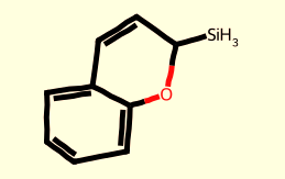 [SiH3]C1C=Cc2ccccc2O1